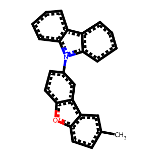 Cc1ccc2oc3ccc(-n4c5ccccc5c5ccccc54)cc3c2c1